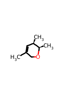 CC1=C[C@@H](C)[C@@H](C)OC1